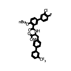 CCCCOc1ccc(-c2ccc(F)c(Cl)c2)cc1C(=O)NC(Cc1ccc(-c2cccc(C(F)(F)F)c2)cc1)C(=O)OC